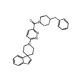 O=C(c1ccc(N2CCC3(C=Cc4ccccc43)CC2)nn1)N1CCC(Cc2ccccc2)CC1